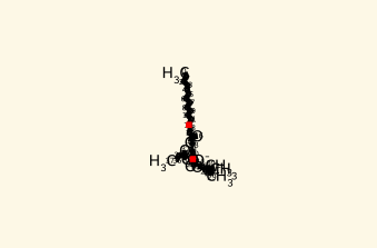 CCCCCCCCCCCCCCCC(=O)OC[C@H](COP(=O)([O-])OCC[N+](C)(C)C)OC(=O)CCC